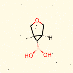 C[C@]12COC[C@H]1[C@H]2B(O)O